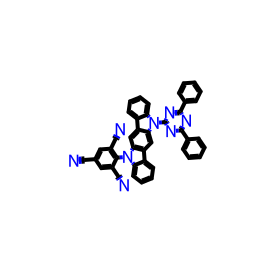 N#Cc1cc(C#N)c(-n2c3ccccc3c3cc4c(cc32)c2ccccc2n4-c2nc(-c3ccccc3)nc(-c3ccccc3)n2)c(C#N)c1